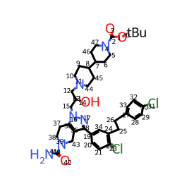 CC(C)(C)OC(=O)N1CCC(C2CCN(C[C@H](O)Cn3nc(-c4ccc(Cl)c(CCc5ccc(Cl)cc5)c4)c4c3CCN(C(N)=O)C4)CC2)CC1